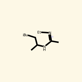 CC/N=C(/C)NC(C)CC(C)CC